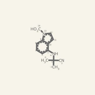 CC(C)(C#N)Nc1cccc2c1ccn2C(=O)O